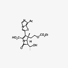 CCOC(=O)OCC[C@@]1(C)C(c2cn3cnc(C(C)=O)c3s2)=C(C(=O)O)N2C(=O)[C@H]([C@@H](C)O)[C@@H]21